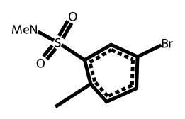 CNS(=O)(=O)c1cc(Br)ccc1C